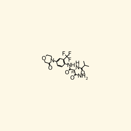 CC(C)C(=O)N[C@H](C(N)=O)C(=O)Nc1ccc(N2CCOCC2=O)cc1C(F)(F)F